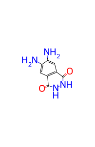 Nc1cc2c(=O)[nH][nH]c(=O)c2cc1N